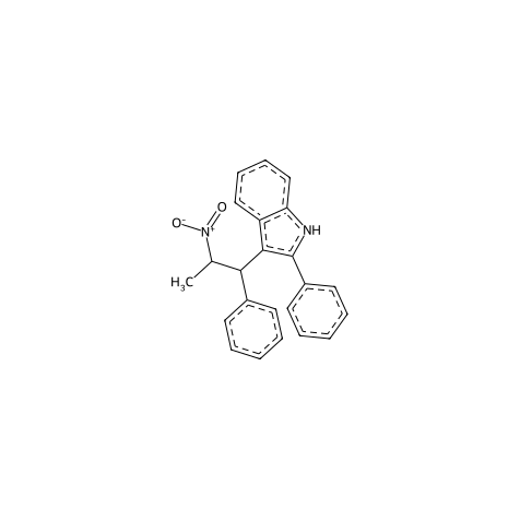 CC(C(c1ccccc1)c1c(-c2ccccc2)[nH]c2ccccc12)[N+](=O)[O-]